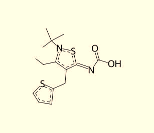 CCc1c(Cc2cccs2)c(=NC(=O)O)sn1C(C)(C)C